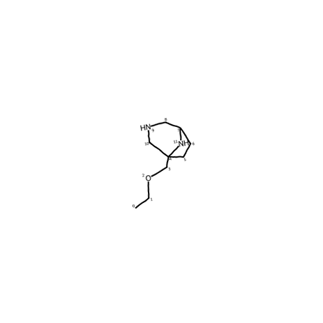 CCOCC12CCC(CNC1)N2